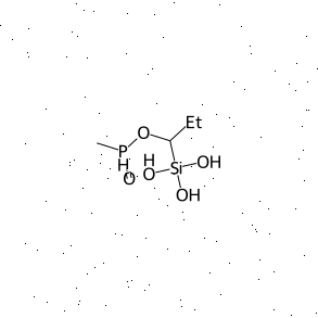 CCC(O[PH](C)=O)[Si](O)(O)O